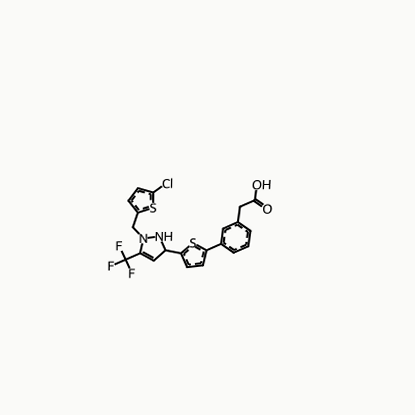 O=C(O)Cc1cccc(-c2ccc(C3C=C(C(F)(F)F)N(Cc4ccc(Cl)s4)N3)s2)c1